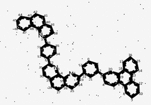 c1cc(-c2ccc3c4ccccc4c4ccccc4c3c2)cc(-c2ccc3ccc4ccc(-c5ccc(-c6ccc7ccc8ccccc8c7n6)cc5)nc4c3n2)c1